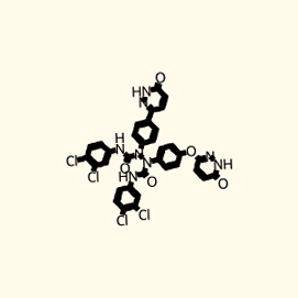 O=C(Nc1ccc(Cl)c(Cl)c1)N(c1ccc(Oc2ccc(=O)[nH]n2)cc1)N(C(=O)Nc1ccc(Cl)c(Cl)c1)c1ccc(-c2ccc(=O)[nH]n2)cc1